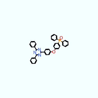 O=P(c1ccccc1)(c1ccccc1)c1ccc(Oc2ccc(-c3nc(-c4ccccc4)nc(-c4ccccc4)n3)cc2)cc1